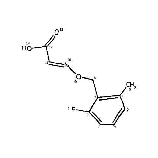 Cc1cccc(F)c1CON=CC(=O)O